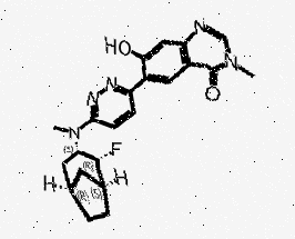 CN(c1ccc(-c2cc3c(=O)n(C)cnc3cc2O)nn1)[C@H]1C[C@@H]2CC[C@@H](C2)[C@H]1F